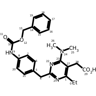 CCc1nc(Cc2ccc(NC(=O)OCc3ccccc3)cc2)nc(N(C)C)c1CC(=O)O